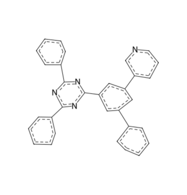 c1ccc(-c2cc(-c3cccnc3)cc(-c3nc(-c4ccccc4)nc(-c4ccccc4)n3)c2)cc1